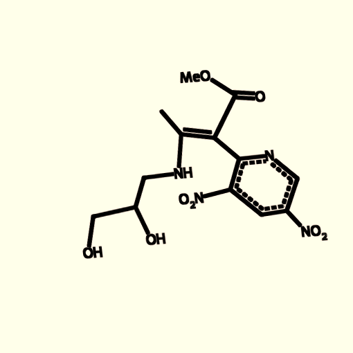 COC(=O)C(=C(C)NCC(O)CO)c1ncc([N+](=O)[O-])cc1[N+](=O)[O-]